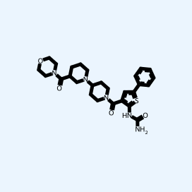 NC(=O)Nc1sc(-c2ccccc2)cc1C(=O)N1CCC(N2CCCC(C(=O)N3CCOCC3)C2)CC1